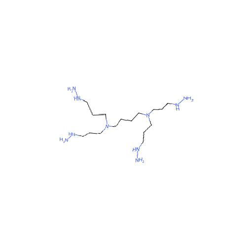 NNCCCN(CCCCN(CCCNN)CCCNN)CCCNN